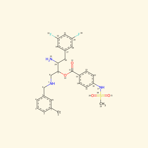 CCc1cccc(CNCC(OC(=O)c2ccc(NS(C)(=O)=O)cc2)C(N)Cc2cc(F)cc(F)c2)c1